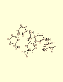 CC1(S(=O)(=O)Nc2ccc(C(=O)Nc3cccc(N4CCC[C@H](O)C4)n3)c(N3CCC4(CC3)CC4)c2)CC1